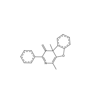 C=C1C(c2ccccc2)=NC(C)=C2Oc3ccccc3C12C